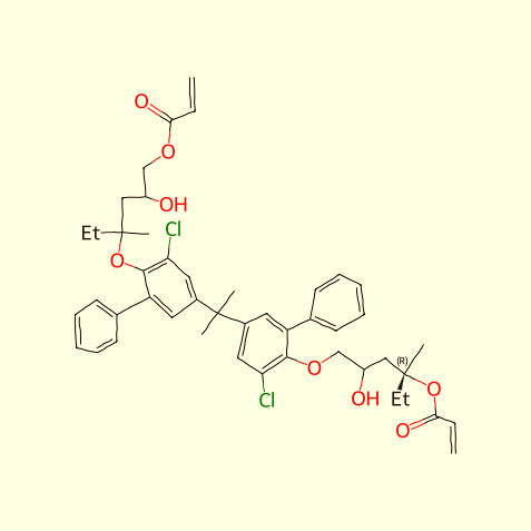 C=CC(=O)OCC(O)CC(C)(CC)Oc1c(Cl)cc(C(C)(C)c2cc(Cl)c(OCC(O)C[C@@](C)(CC)OC(=O)C=C)c(-c3ccccc3)c2)cc1-c1ccccc1